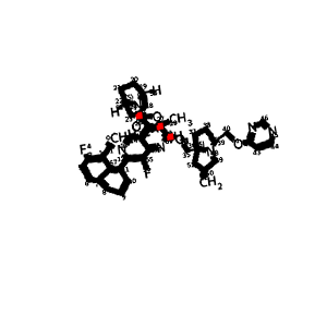 C#Cc1c(F)ccc2cccc(-c3ncc4c(N5C[C@H]6CC[C@@H](C5)N6C(=O)OC(C)(C)C)nc(OC[C@@]56CC[C@@H](COc7ccncn7)N5CC(=C)C6)nc4c3F)c12